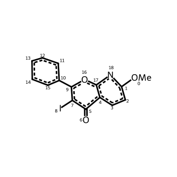 COc1ccc2c(=O)c(I)c(-c3ccccc3)oc2n1